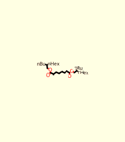 CCCCCCC(CCCC)COC(=O)CCCCCCC(=O)OCC(CCCC)CCCCCC